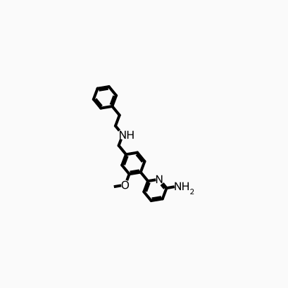 COc1cc(CNCCc2ccccc2)ccc1-c1cccc(N)n1